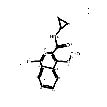 O=COc1c(C(=O)NC2CC2)nc(Cl)c2ccccc12